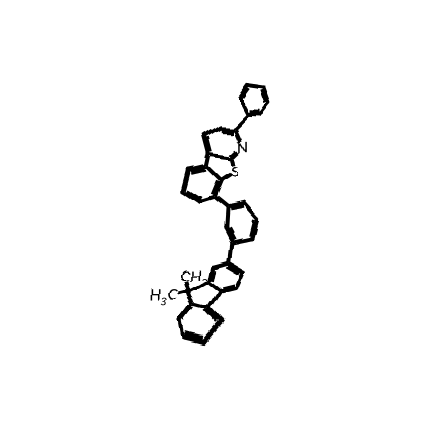 CC1(C)c2ccccc2-c2ccc(-c3cccc(-c4cccc5c4sc4nc(-c6ccccc6)ccc45)c3)cc21